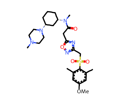 COc1cc(C)c(S(=O)(=O)Cc2noc(CC(=O)N(C)[C@H]3CCC[C@@H](N4CCN(C)CC4)C3)n2)c(C)c1